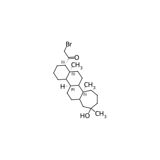 CC1(O)CCC[C@@]2(C)C(CC[C@@H]3C2CC[C@@]2(C)C3CCC[C@@H]2C(=O)CBr)C1